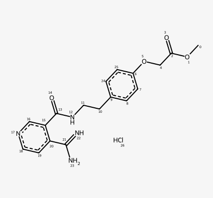 COC(=O)COc1ccc(CCNC(=O)c2cnccc2C(=N)N)cc1.Cl